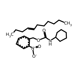 CCCC=CCCCCCC.O=C(NC1CCCCC1)OCc1ccccc1[N+](=O)[O-]